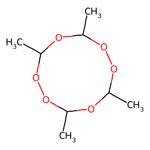 CC1OOC(C)OC(C)OOC(C)O1